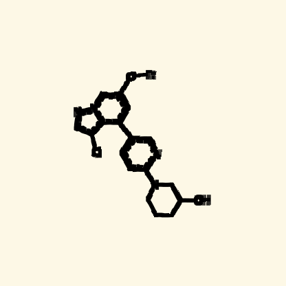 CCOc1cc(-c2ccc(N3CCCC(O)C3)nc2)c2c(Cl)cnn2c1